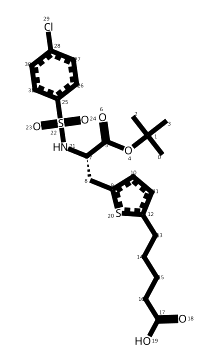 CC(C)(C)OC(=O)[C@H](Cc1ccc(CCCCC(=O)O)s1)NS(=O)(=O)c1ccc(Cl)cc1